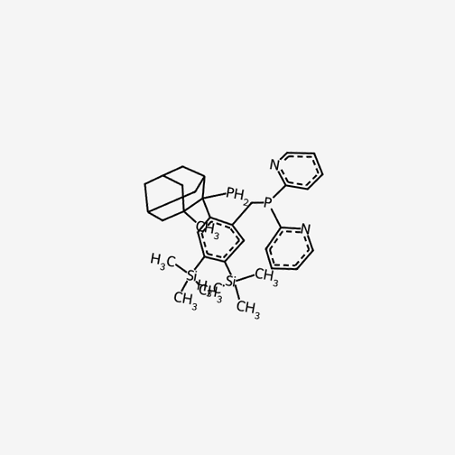 CC12CC3CC(CC(C3)C1(P)c1cc([Si](C)(C)C)c([Si](C)(C)C)cc1CP(c1ccccn1)c1ccccn1)C2